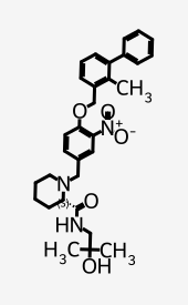 Cc1c(COc2ccc(CN3CCCC[C@H]3C(=O)NCC(C)(C)O)cc2[N+](=O)[O-])cccc1-c1ccccc1